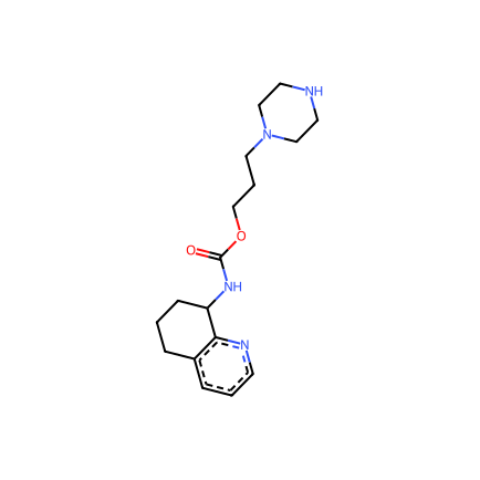 O=C(NC1CCCc2cccnc21)OCCCN1CCNCC1